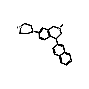 CN1Cc2cc(N3CCNCC3)ccc2C(c2ccc3ccccc3c2)C1